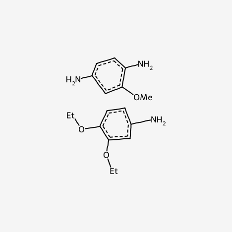 CCOc1ccc(N)cc1OCC.COc1cc(N)ccc1N